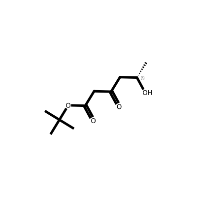 C[C@H](O)CC(=O)CC(=O)OC(C)(C)C